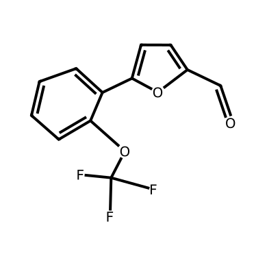 O=Cc1ccc(-c2ccccc2OC(F)(F)F)o1